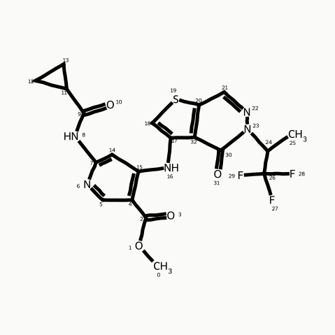 COC(=O)c1cnc(NC(=O)C2CC2)cc1Nc1csc2cnn(C(C)C(F)(F)F)c(=O)c12